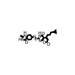 C=C1NC(=O)C2(CCC(=NOc3nc4oc(=O)cc(CCCC5CC5)c4c(=O)[nH]3)CC2)N1